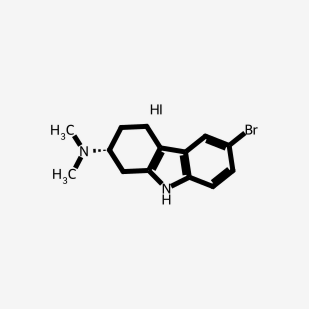 CN(C)[C@@H]1CCc2c([nH]c3ccc(Br)cc23)C1.I